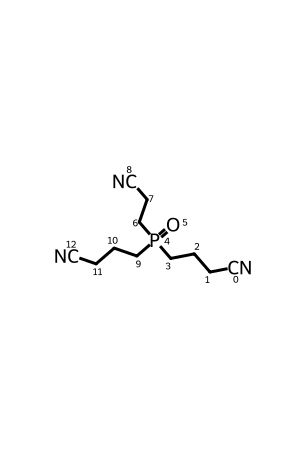 N#CCCCP(=O)(CCC#N)CCCC#N